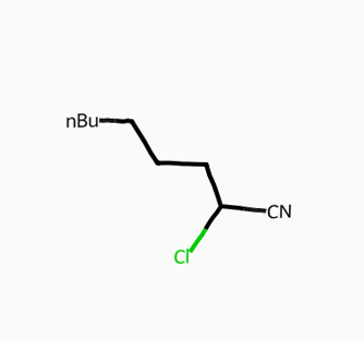 CCCCCCCC(Cl)C#N